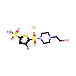 Cl.NS(=O)(=O)c1cc(Br)c(S(=O)(=O)N2CCN(CCO)CC2)s1